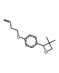 C=CCCOc1ccc(C2OCC2(C)C)cc1